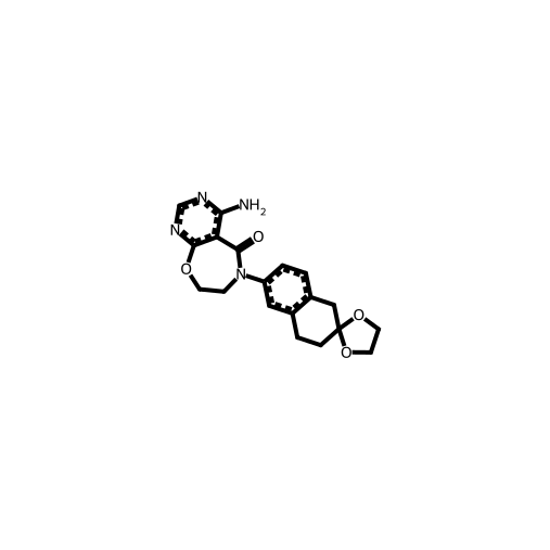 Nc1ncnc2c1C(=O)N(c1ccc3c(c1)CCC1(C3)OCCO1)CCO2